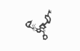 N#Cc1ccc(-c2ccc3c(c2)nc(-c2ccccc2)c2ccc4c(c23)NC(c2ccccc2)O4)cc1